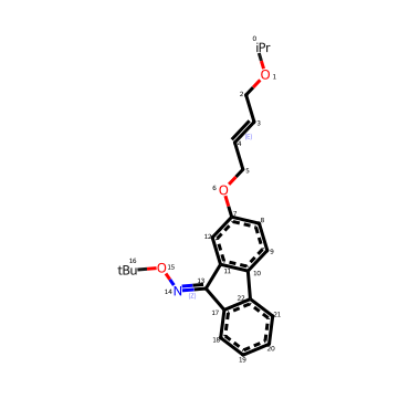 CC(C)OC/C=C/COc1ccc2c(c1)/C(=N\OC(C)(C)C)c1ccccc1-2